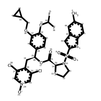 Cc1ccc2sc(S(=O)(=O)N3CCS[C@H]3C(=O)O[C@@H](Cc3c(Cl)c[n+]([O-])cc3Cl)c3ccc(OC(F)F)c(OCC4CC4)c3)cc2c1